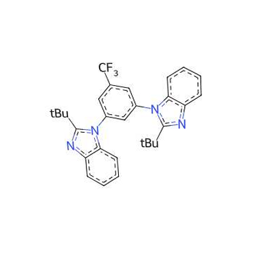 CC(C)(C)c1nc2ccccc2n1-c1cc(-n2c(C(C)(C)C)nc3ccccc32)cc(C(F)(F)F)c1